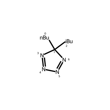 [CH2]CCCC1(C(C)CC)N=NN=N1